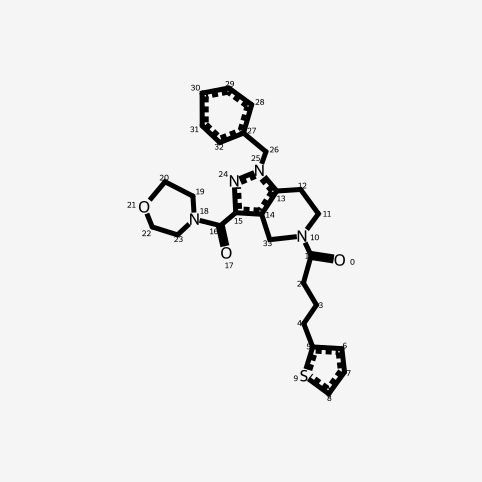 O=C(CCCc1cccs1)N1CCc2c(c(C(=O)N3CCOCC3)nn2Cc2ccccc2)C1